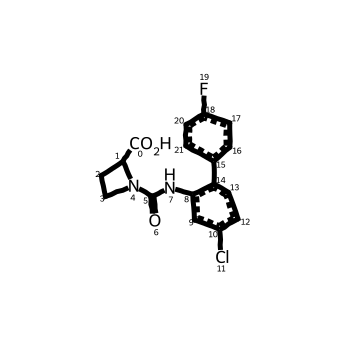 O=C(O)C1CCN1C(=O)Nc1cc(Cl)ccc1-c1ccc(F)cc1